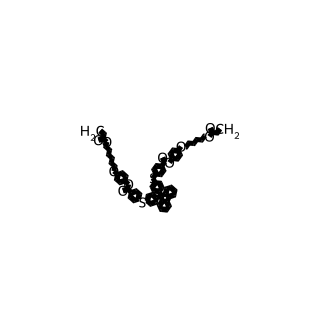 C=CC(=O)OCCCCCCOc1ccc(OC(=O)c2ccc(Sc3ccc(C4(c5ccc(Sc6ccc(C(=O)Oc7ccc(OCCCCCCOC(=O)C=C)cc7)cc6)cc5)c5ccccc5-c5ccccc54)cc3)cc2)cc1